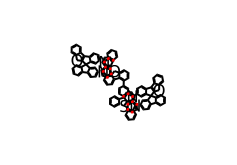 c1ccc(N(c2ccccc2)c2ccc3c(c2)C2(c4ccccc4-c4ccc(N(c5ccccc5)c5cccc6c5oc5cccc(-c7cccc(N(c8ccccc8)c8ccc9c(c8)C8(c%10ccccc%10-c%10ccc(N(c%11ccccc%11)c%11cccc%12c%11sc%11ccccc%11%12)cc%108)c8oc%10ccccc%10c8-9)c7)c56)cc42)c2oc4ccccc4c2-3)cc1